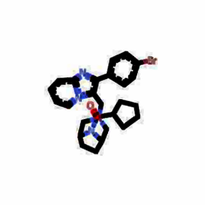 O=C(C1CCCC1)N1C2CCC1CN(Cc1c(-c3ccc(Br)cc3)nc3ccccn13)C2